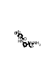 C[N+](=O)c1ccc(C(=O)Nc2cccc(C3(C)CCSC(N)=N3)c2)nc1